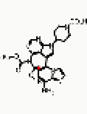 CC(C)(C)OC(=O)N(C(=O)OC(C)(C)C)c1ncnc2c1c(-c1ccc(N)c3nccn13)cn2C1CCN(C(=O)O)CC1